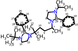 CC(C)N1CCN(C(C)CCC(C)(C)N2CCN(C(C)(C)C)B2c2ccccc2)B1c1ccccc1